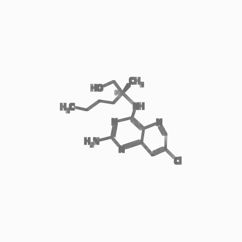 CCCC[C@](C)(CO)Nc1nc(N)nc2cc(Cl)cnc12